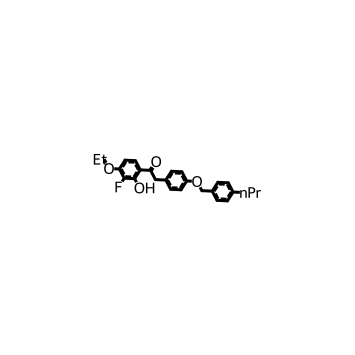 CCCc1ccc(COc2ccc(CC(=O)c3ccc(OCC)c(F)c3O)cc2)cc1